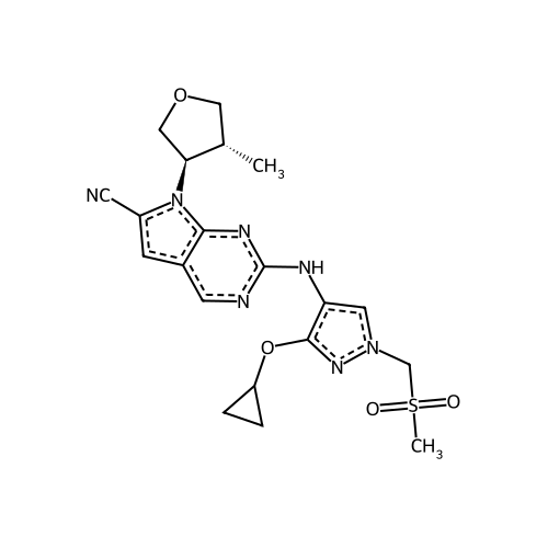 C[C@H]1COC[C@@H]1n1c(C#N)cc2cnc(Nc3cn(CS(C)(=O)=O)nc3OC3CC3)nc21